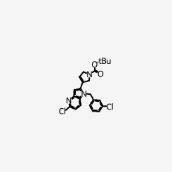 CC(C)(C)OC(=O)N1CC=C(c2cc3nc(Cl)ccc3n2Cc2cccc(Cl)c2)C1